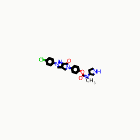 CN(C(=O)Oc1ccc(N2Cc3cn(-c4ccc(Cl)cc4)nc3C2=O)cc1)C1CCNC1